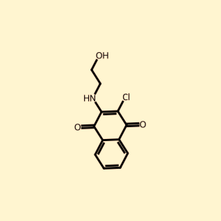 O=C1C(Cl)=C(NCCO)C(=O)c2ccccc21